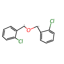 Clc1ccccc1[CH]O[CH]c1ccccc1Cl